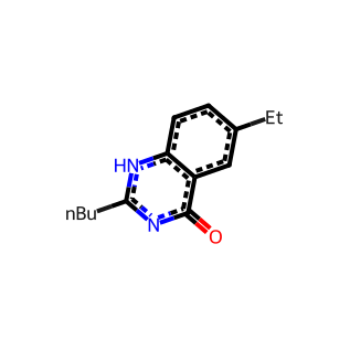 CCCCc1nc(=O)c2cc(CC)ccc2[nH]1